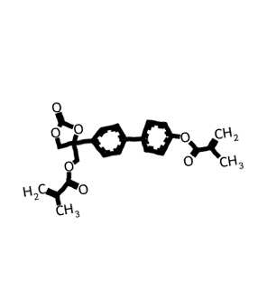 C=C(C)C(=O)OCC1(c2ccc(-c3ccc(OC(=O)C(=C)C)cc3)cc2)COC(=O)O1